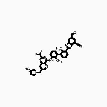 Cc1c(Nc2nc(C(F)F)nc3cc(CN4CC[C@H](O)C4)cnc23)cccc1-c1cccc(-c2nc3cc(C=O)cc(C#N)c3o2)c1C